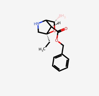 B[C@@H]1O[C@@]2(CC)CNC1[C@H]2C(=O)OCc1ccccc1